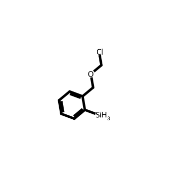 [SiH3]c1ccccc1COCCl